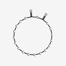 O=C1CCCCCCCCCCCCCCCCCC(=O)O1